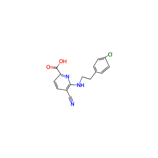 N#Cc1ccc(C(=O)O)nc1NCCc1ccc(Cl)cc1